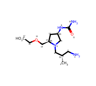 C[C@@H](CN)CN1C[C@H](NC(N)=O)C[C@@H]1COCC(=O)O